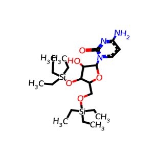 CC[Si](CC)(CC)OCC1OC(n2ccc(N)nc2=O)C(O)C1O[Si](CC)(CC)CC